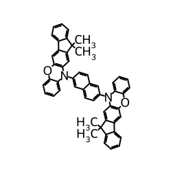 CC1(C)c2ccccc2-c2cc3c(cc21)N(c1ccc2cc(N4c5ccccc5Oc5cc6c(cc54)C(C)(C)c4ccccc4-6)ccc2c1)c1ccccc1O3